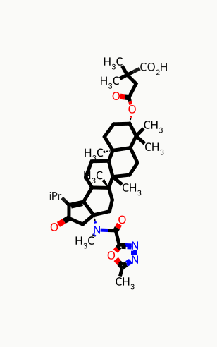 Cc1nnc(C(=O)N(C)[C@@]23CC[C@]4(C)C(CCC5C4(C)CCC4C(C)(C)[C@@H](OC(=O)CC(C)(C)C(=O)O)CC[C@@]45C)C2=C(C(C)C)C(=O)C3)o1